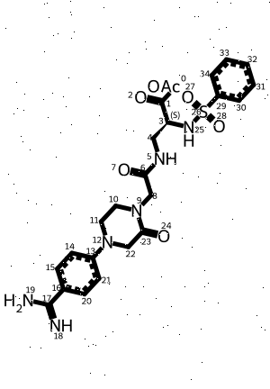 CC(=O)OC(=O)[C@H](CNC(=O)CN1CCN(c2ccc(C(=N)N)cc2)CC1=O)NS(=O)(=O)c1ccccc1